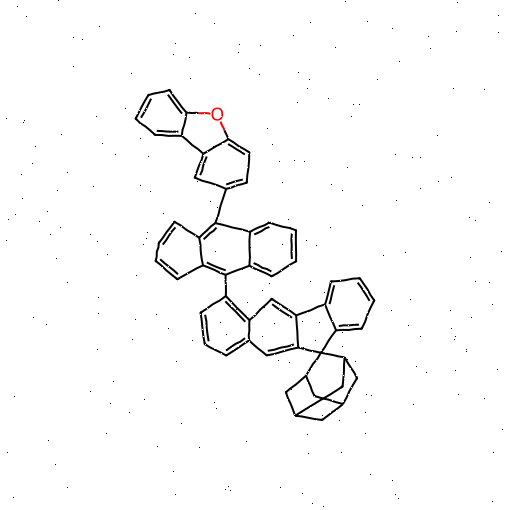 c1ccc2c(c1)-c1cc3c(-c4c5ccccc5c(-c5ccc6oc7ccccc7c6c5)c5ccccc45)cccc3cc1C21C2CC3CC(C2)CC1C3